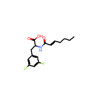 CCCCC=CC(=O)NC(Cc1cc(F)cc(F)c1)C(=O)O